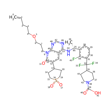 C=CCCCOCCCn1c(=O)c(C2CCS(=O)(=O)CC2)cc2c(N[C@H](C)c3cccc(C(F)(F)C4CCN(C(=O)O)CC4)c3F)ncnc21